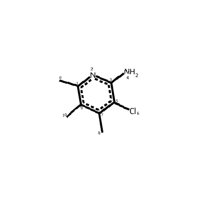 Cc1nc(N)c(Cl)c(C)c1C